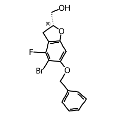 OC[C@H]1Cc2c(cc(OCc3ccccc3)c(Br)c2F)O1